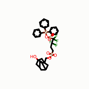 O=S(=O)(CCC(F)(F)C(F)(F)S(=O)(=O)OS(c1ccccc1)(c1ccccc1)c1ccccc1)OCC12CC3CC(CC(O)(C3)C1)C2